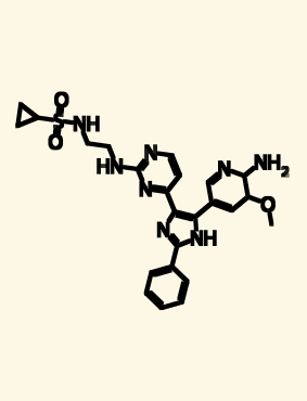 COC1C=C(c2[nH]c(-c3ccccc3)nc2-c2ccnc(NCCNS(=O)(=O)C3CC3)n2)C=NC1N